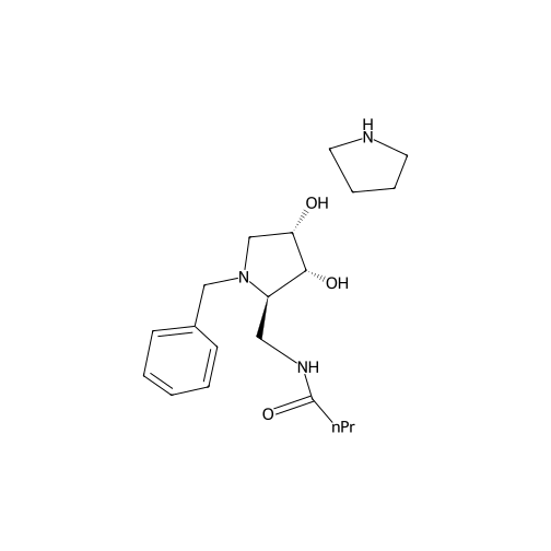 C1CCNC1.CCCC(=O)NC[C@@H]1[C@@H](O)[C@@H](O)CN1Cc1ccccc1